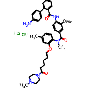 COc1cc(C(=O)N(C)c2ccc(C)cc2OCCCCCC(=O)N2CCN(C)CC2)ccc1NC(=O)c1ccccc1-c1ccc(N)cc1.Cl.Cl